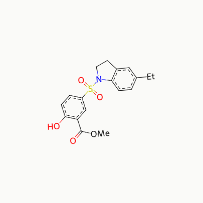 CCc1ccc2c(c1)CCN2S(=O)(=O)c1ccc(O)c(C(=O)OC)c1